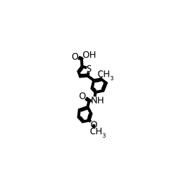 COc1cccc(C(=O)Nc2ccc(C)c(-c3ccc(C(=O)O)s3)c2)c1